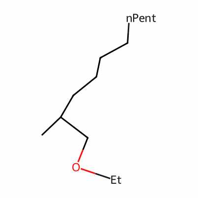 CCCCCCCCCC(C)COCC